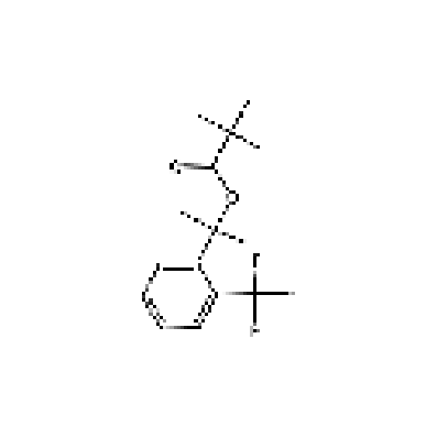 CC(C)(C)C(=O)OC(C)(C)c1ccccc1C(F)(F)F